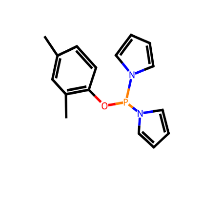 Cc1ccc(OP(n2cccc2)n2cccc2)c(C)c1